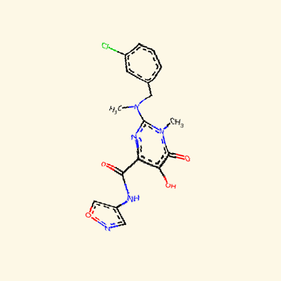 CN(Cc1cccc(Cl)c1)c1nc(C(=O)Nc2cnoc2)c(O)c(=O)n1C